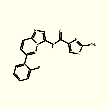 Cc1nc(C(=O)Nc2cnc3ccc(-c4ccccc4F)nn23)cs1